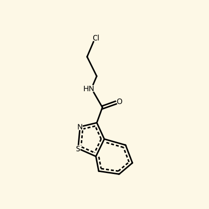 O=C(NCCCl)c1nsc2ccccc12